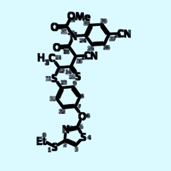 CCSc1csc(Oc2ccc(SC(C)C(=S)C(C#N)C(=O)N(C(=O)OC)c3ccc(C#N)cc3)cc2)n1